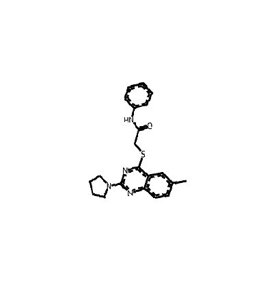 Cc1ccc2nc(N3CCCC3)nc(SCC(=O)Nc3ccccc3)c2c1